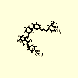 C[C@@H]1CN(CCCc2cccc(-c3cccc(Oc4ncc(F)cc4C(=O)NC4CCC(NC(=O)O)CC4)c3)c2)C[C@H](C)N1